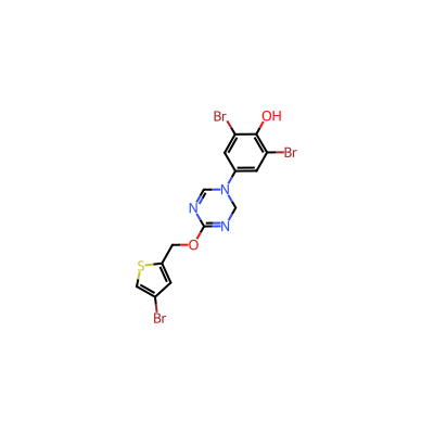 Oc1c(Br)cc(N2C=NC(OCc3cc(Br)cs3)=NC2)cc1Br